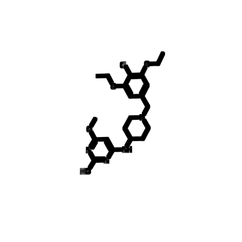 CCOc1cc(CN2CCC(Nc3cc(OC)nc(O)n3)CC2)cc(OCC)c1Cl